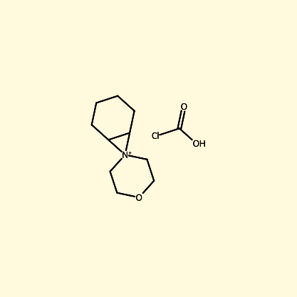 C1CCC2C(C1)[N+]21CCOCC1.O=C(O)Cl